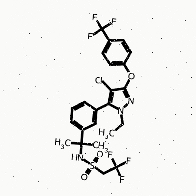 CCn1nc(Oc2ccc(C(F)(F)F)cc2)c(Cl)c1-c1cccc(C(C)(C)NS(=O)(=O)CC(F)(F)F)c1